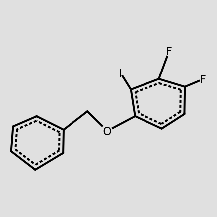 Fc1ccc(OCc2ccccc2)c(I)c1F